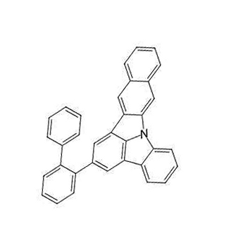 c1ccc(-c2ccccc2-c2cc3c4ccccc4n4c5cc6ccccc6cc5c(c2)c34)cc1